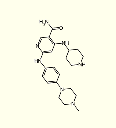 CN1CCN(c2ccc(Nc3cc(NC4CCNCC4)c(C(N)=O)cn3)cc2)CC1